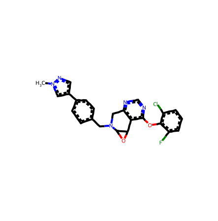 Cn1cc(-c2ccc(CN3Cc4ncnc(Oc5c(F)cccc5Cl)c4C4OC43)cc2)cn1